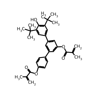 C=C(C)C(=O)Oc1ccc(-c2cc(OC(=O)C(=C)C)cc(-c3cc(C(C)(C)C)c(O)c(C(C)(C)C)c3)c2)cc1